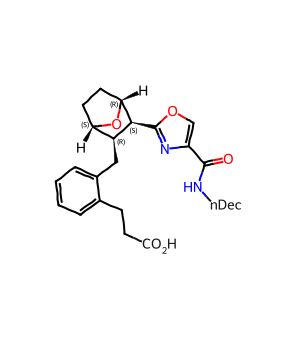 CCCCCCCCCCNC(=O)c1coc([C@H]2[C@@H](Cc3ccccc3CCC(=O)O)[C@@H]3CC[C@H]2O3)n1